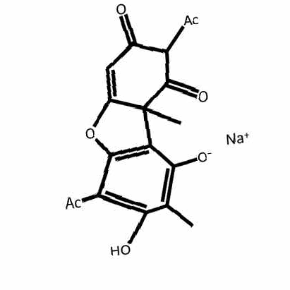 CC(=O)c1c(O)c(C)c([O-])c2c1OC1=CC(=O)C(C(C)=O)C(=O)C12C.[Na+]